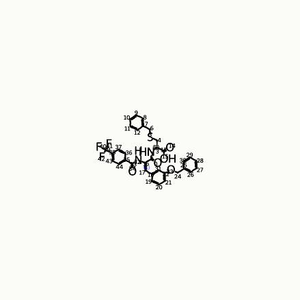 O=C(N[C@@H](CSCc1ccccc1)C(=O)O)/C(=C\c1cccc(OCc2ccccc2)c1)NC(=O)c1ccc(C(F)(F)F)cc1